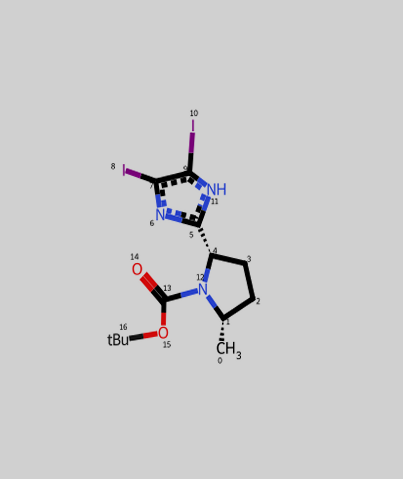 C[C@H]1CC[C@@H](c2nc(I)c(I)[nH]2)N1C(=O)OC(C)(C)C